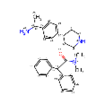 C1CCNCC1.CN(C)C(=O)C(c1ccccc1)c1ccccc1.C[C@@H](N)c1ccccc1